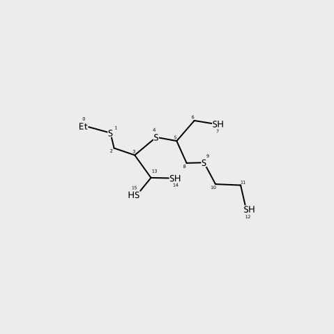 CCSCC(SC(CS)CSCCS)C(S)S